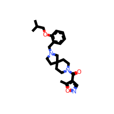 Cc1oncc1C(=O)N1CCC2(CCN(Cc3ccccc3OCC(C)C)C2)CC1